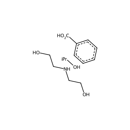 CC(C)O.O=C(O)c1ccccc1.OCCNCCO